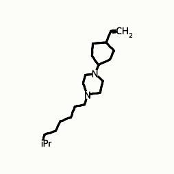 C=CC1CCC(N2CCN(CCCCCCC(C)C)CC2)CC1